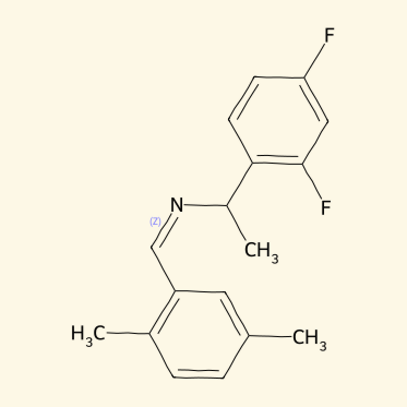 Cc1ccc(C)c(/C=N\C(C)c2ccc(F)cc2F)c1